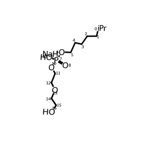 CC(C)CCCCCOP(=O)(O)OCCOCCO.[NaH]